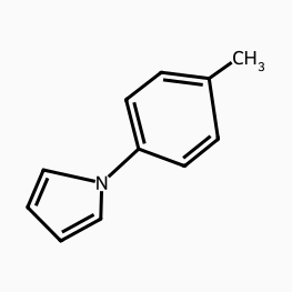 Cc1ccc(-n2cccc2)cc1